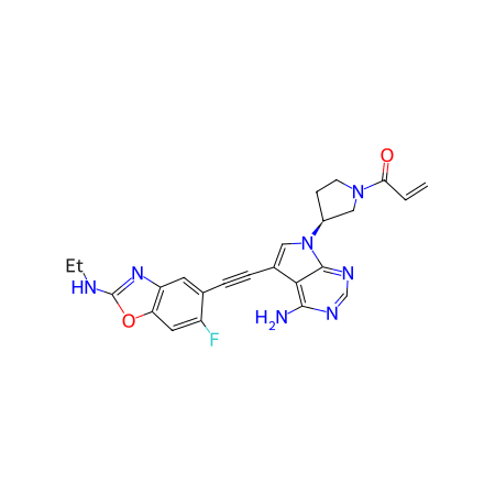 C=CC(=O)N1CC[C@H](n2cc(C#Cc3cc4nc(NCC)oc4cc3F)c3c(N)ncnc32)C1